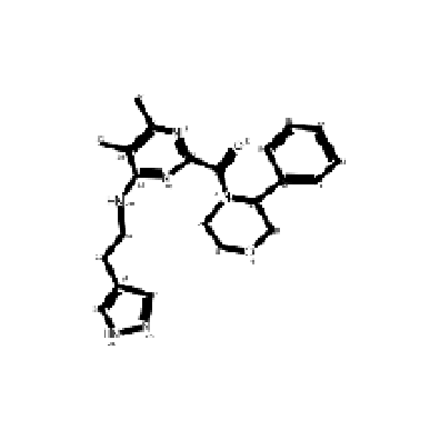 Cc1nc(C(=O)N2CCOCC2c2ccccc2)nc(NCCc2cn[nH]c2)c1C